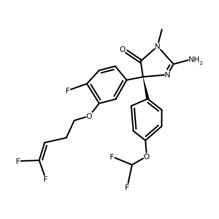 CN1C(=O)[C@@](c2ccc(OC(F)F)cc2)(c2ccc(F)c(OCCC=C(F)F)c2)N=C1N